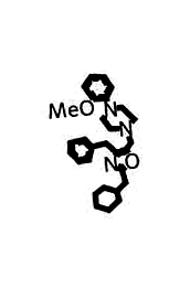 COc1ccccc1N1CCN(Cc2oc(CC3CCCCC3)nc2Cc2ccccc2)CC1